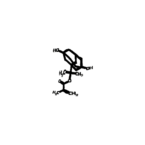 C=C(C)C(=O)OC(C)(C)C12CC3CC(O)(CC(O)(C3)C1)C2